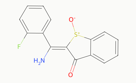 N/C(=C1\C(=O)c2ccccc2[S+]1[O-])c1ccccc1F